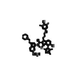 Cc1cc(OCCCc2c3n(c4c(-c5c(C)nn(C)c5C)c(Cl)ccc24)[C@H](C)CN(c2cn(CCN4CCCCC4)c4ccc(C(=O)O)cc24)C3=O)cc(C)c1Cl